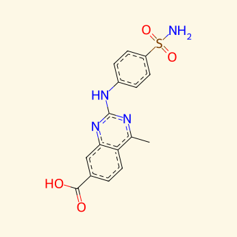 Cc1nc(Nc2ccc(S(N)(=O)=O)cc2)nc2cc(C(=O)O)ccc12